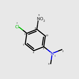 CN(C)c1ccc(Cl)c([N+](=O)[O-])c1